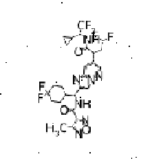 Cc1nonc1C(=O)N[C@H](c1cn2ncc([C@H](CC(F)F)C(=O)N[C@@H](C3CC3)C(F)(F)F)cc2n1)C1CCC(F)(F)CC1